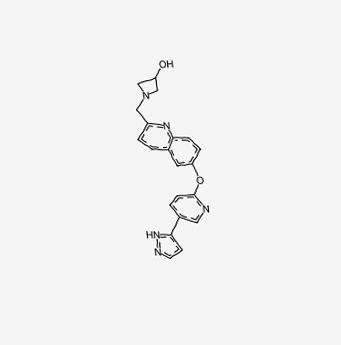 OC1CN(Cc2ccc3cc(Oc4ccc(-c5ccn[nH]5)cn4)ccc3n2)C1